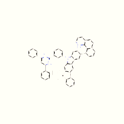 CC1(C)c2ccccc2-c2cc3c4cc(-c5cccc6ccc7cccnc7c56)ccc4n(-c4cccc(-c5nc(-c6ccccc6)cc(-c6ccccc6)n5)c4)c3cc21